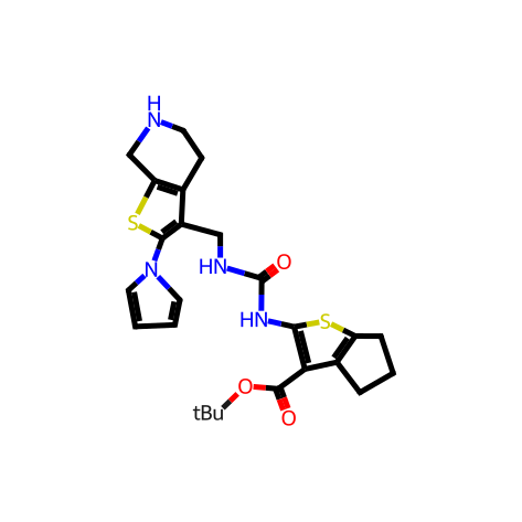 CC(C)(C)OC(=O)c1c(NC(=O)NCc2c(-n3cccc3)sc3c2CCNC3)sc2c1CCC2